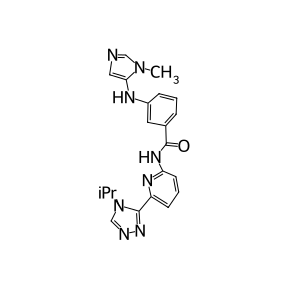 CC(C)n1cnnc1-c1cccc(NC(=O)c2cccc(Nc3cncn3C)c2)n1